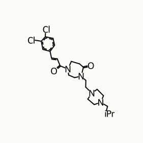 CC(C)CN1CCN(CCN2CCN(C(=O)/C=C/c3ccc(Cl)c(Cl)c3)CCC2=O)CC1